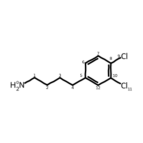 NCCCCc1ccc(Cl)c(Cl)c1